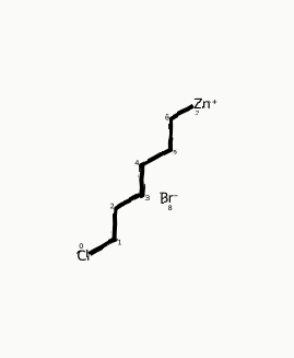 ClCCCCC[CH2][Zn+].[Br-]